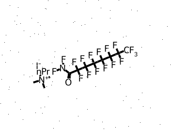 CCC[N+](C)(C)C.O=C(N(F)F)C(F)(F)C(F)(F)C(F)(F)C(F)(F)C(F)(F)C(F)(F)C(F)(F)F.[I-]